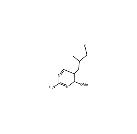 COc1nc(N)ncc1CC(F)CF